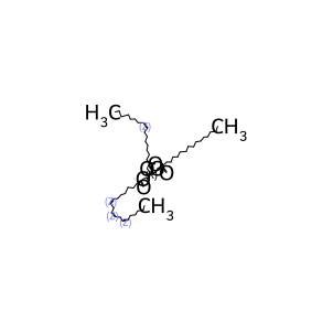 CCCCC/C=C\C/C=C\C/C=C\CCCCCCC(=O)OC[C@@H](COC(=O)CCCCCCCCCCCCCCC)OC(=O)CCCCCCC/C=C\CCCCCCC